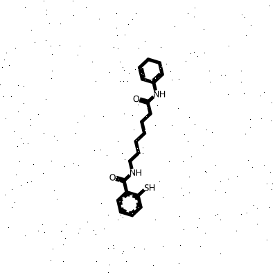 O=C(CCCCCCNC(=O)c1ccccc1S)NC1=CCCC=C1